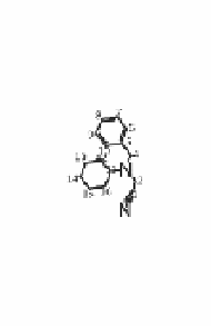 N#CCN(Cc1ccccc1)C1CCCCC1